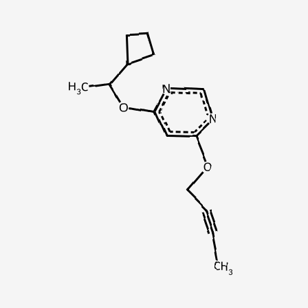 CC#CCOc1cc(OC(C)C2CCC2)ncn1